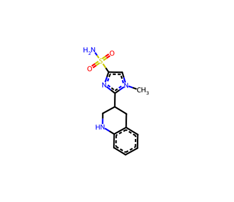 Cn1cc(S(N)(=O)=O)nc1C1CNc2ccccc2C1